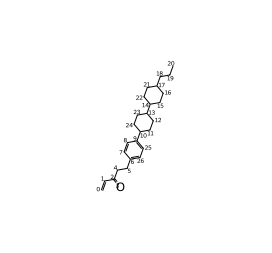 C=CC(=O)CCc1ccc(C2CCC(C3CCC(CCC)CC3)CC2)cc1